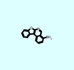 Bc1cccc2c1cnc1oc3ccccc3c12